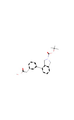 COC(=O)Cc1cccc(-c2cccc3c2CN(C(=O)OC(C)(C)C)C3)c1